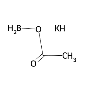 BOC(C)=O.[KH]